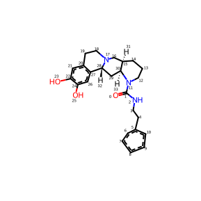 O=C(NCCc1ccccc1)N1CCC[C@@H]2CN3CCc4cc(O)c(O)cc4[C@H]3C[C@@H]21